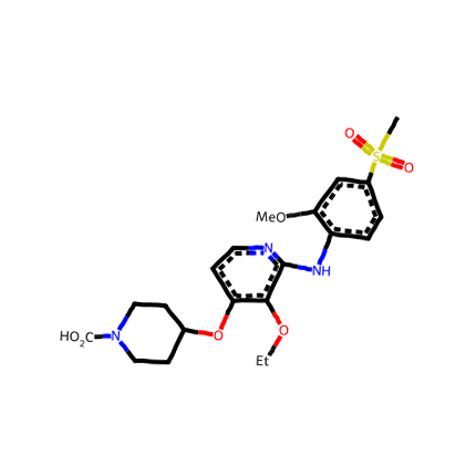 CCOc1c(OC2CCN(C(=O)O)CC2)ccnc1Nc1ccc(S(C)(=O)=O)cc1OC